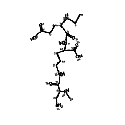 CCN[C@@H](CCC(=O)O)C(=O)NC(CCCNC(=O)[C@H](CN)NC)C(=O)O